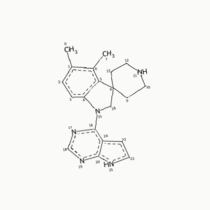 Cc1ccc2c(c1C)C1(CCNCC1)CN2c1ncnc2[nH]ccc12